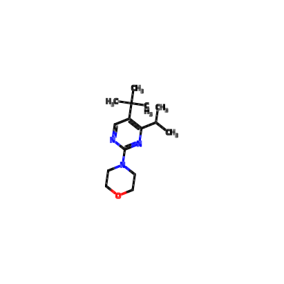 CC(C)c1nc(N2CCOCC2)ncc1C(C)(C)C